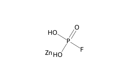 O=P(O)(O)F.[Zn]